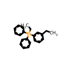 CCc1cccc([P](CC)(c2ccccc2)c2ccccc2)c1